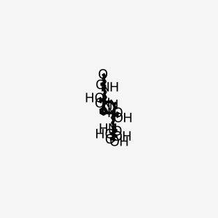 CN1CCN(C(CCCCNC(=O)CCC=O)C(=O)O)Cc2cccc(n2)CN(C(CCCCNC(=O)C(O)C(O)C(=O)O)C(=O)O)CC1